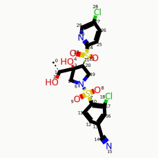 C[C@@H](O)[C@@]1(O)CN(S(=O)(=O)c2ccc(C#N)cc2Cl)C[C@H]1S(=O)(=O)c1ccc(Cl)cn1